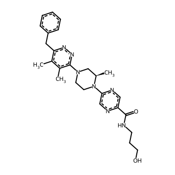 Cc1c(Cc2ccccc2)nnc(N2CCN(c3cnc(C(=O)NCCCO)cn3)[C@H](C)C2)c1C